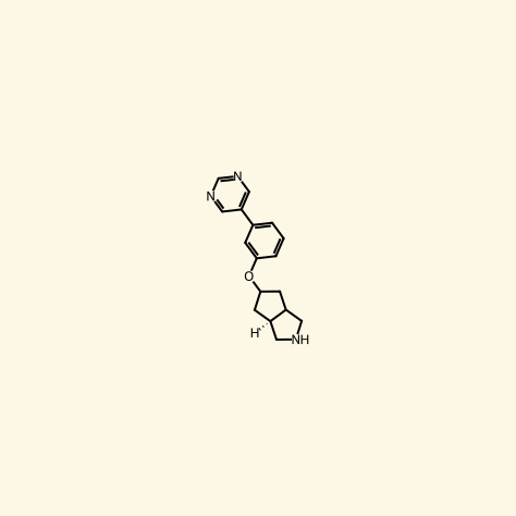 c1cc(OC2CC3CNC[C@H]3C2)cc(-c2cncnc2)c1